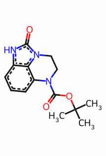 CC(C)(C)OC(=O)N1CCn2c(=O)[nH]c3cccc1c32